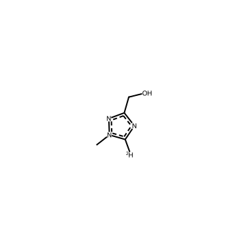 [2H]c1nc(CO)nn1C